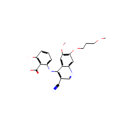 COCCCOc1cc2ncc(C#N)c(Nc3cccc(O)c3C(=O)O)c2cc1OC